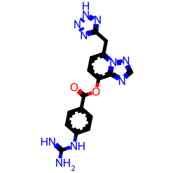 N=C(N)Nc1ccc(C(=O)Oc2ccc(Cc3nn[nH]n3)n3ncnc23)cc1